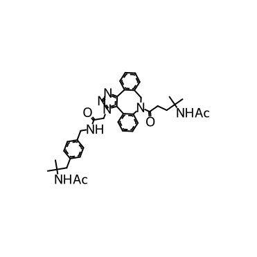 CC(=O)NC(C)(C)CCC(=O)N1Cc2ccccc2-c2nnn(CC(=O)NCc3ccc(CC(C)(C)NC(C)=O)cc3)c2-c2ccccc21